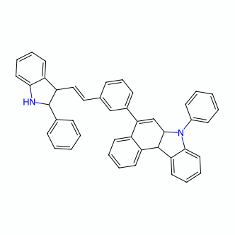 C1=C(c2cccc(/C=C/C3c4ccccc4NC3c3ccccc3)c2)c2ccccc2C2c3ccccc3N(c3ccccc3)C12